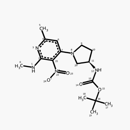 CNc1nc(C)cc(N2CC[C@@H](NC(=O)OC(C)(C)C)C2)c1[N+](=O)[O-]